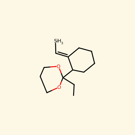 CCC1(C2CCCCC2=C[SiH3])OCCCO1